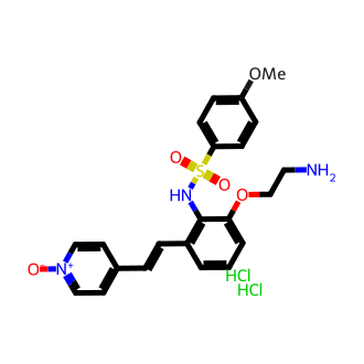 COc1ccc(S(=O)(=O)Nc2c(/C=C/c3cc[n+]([O-])cc3)cccc2OCCN)cc1.Cl.Cl